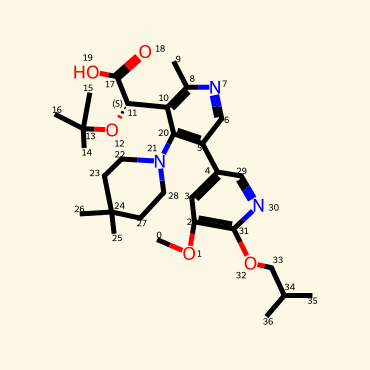 COc1cc(-c2cnc(C)c([C@H](OC(C)(C)C)C(=O)O)c2N2CCC(C)(C)CC2)cnc1OCC(C)C